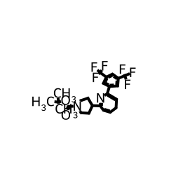 CC(C)(C)OC(=O)N1CCC(C2=NC(c3cc(C(F)(F)F)cc(C(F)(F)F)c3)=CCC=C2)CC1